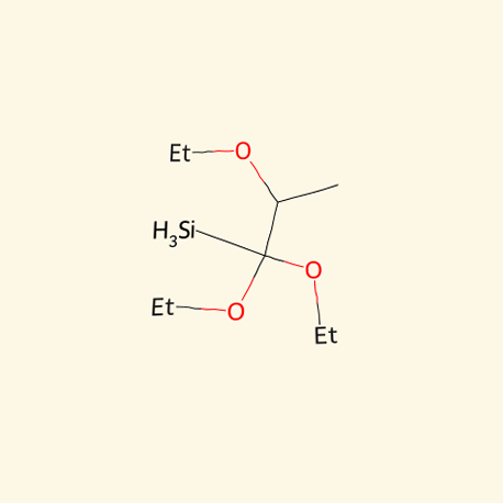 CCOC(C)C([SiH3])(OCC)OCC